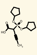 CC#CC(C(=O)O)P(=O)(OC1CCCC1)OC1CCCC1